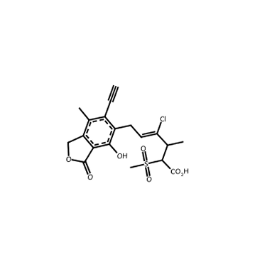 C#Cc1c(C)c2c(c(O)c1CC=C(Cl)C(C)C(C(=O)O)S(C)(=O)=O)C(=O)OC2